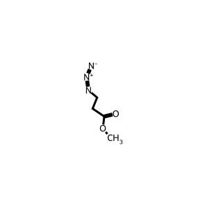 COC(=O)CCN=[N+]=[N-]